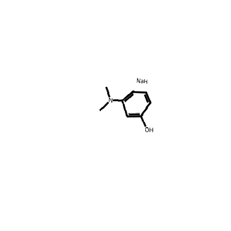 CN(C)c1cccc(O)c1.[NaH]